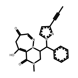 CC#Cc1ccn(C(c2ccccc2)C2CN(C)C(=O)C3=C(O)CC(=O)C=NN32)n1